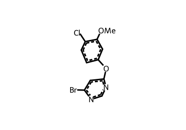 COc1cc(Oc2cc(Br)ncn2)ccc1Cl